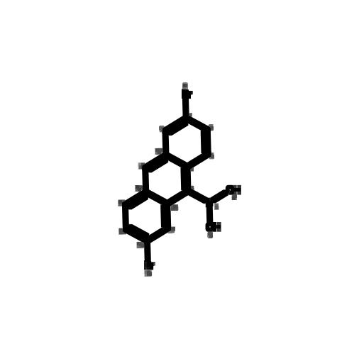 OB(O)c1c2ccc(Br)cc2cc2ccc(Br)cc12